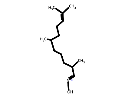 CC(C)=CCCC(C)CCCC(C)/C=N/O